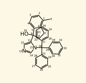 Cc1cccc2c1CCC2(O)c1cncn1C(c1ccccc1)(c1ccccc1)c1ccccc1